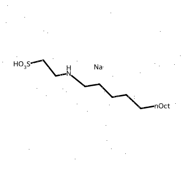 CCCCCCCCCCCCCNCCS(=O)(=O)O.[Na]